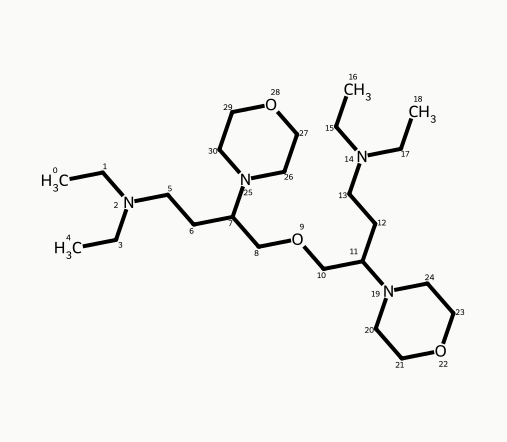 CCN(CC)CCC(COCC(CCN(CC)CC)N1CCOCC1)N1CCOCC1